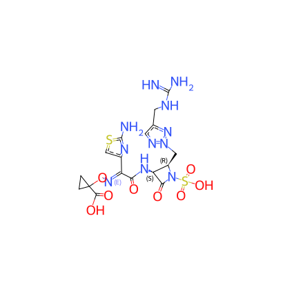 N=C(N)NCc1cnn(C[C@@H]2[C@H](NC(=O)/C(=N/OC3(C(=O)O)CC3)c3csc(N)n3)C(=O)N2S(=O)(=O)O)n1